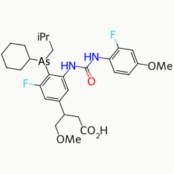 COCC(CC(=O)O)c1cc(F)c([As](CC(C)C)C2CCCCC2)c(NC(=O)Nc2ccc(OC)cc2F)c1